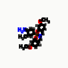 COc1ccc(CN(Cc2ccc(OC)cc2)S(=O)(=O)c2ccc(N)c(C)c2)cc1